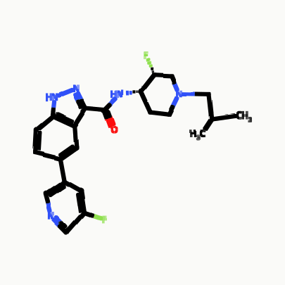 CC(C)CN1CC[C@H](NC(=O)c2n[nH]c3ccc(-c4cncc(F)c4)cc23)[C@H](F)C1